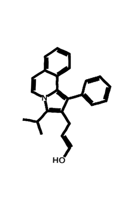 CC(C)c1c(C/C=C/O)c(-c2ccccc2)c2c3ccccc3ccn12